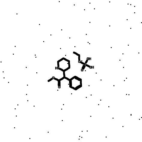 CCOP(=O)(O)O.COC(=O)C(c1ccccc1)C1CCCCN1